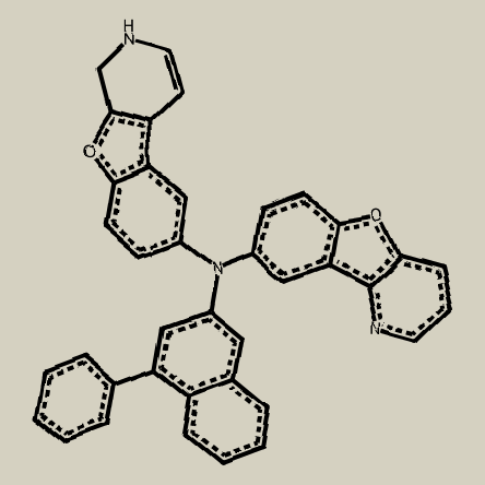 C1=Cc2c(oc3ccc(N(c4cc(-c5ccccc5)c5ccccc5c4)c4ccc5oc6cccnc6c5c4)cc23)CN1